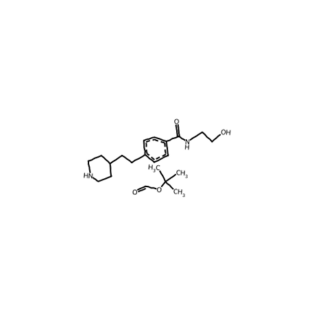 CC(C)(C)OC=O.O=C(NCCO)c1ccc(CCC2CCNCC2)cc1